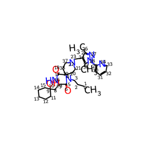 CCCCN1C(=O)[C@@H](CC2(O)CCCCC2)NC(=O)C12CCN(Cc1c(C)nn(-c3ccccn3)c1C)CC2